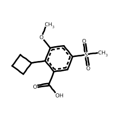 COc1cc(S(C)(=O)=O)cc(C(=O)O)c1C1CCC1